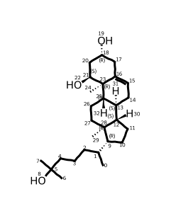 CC(CCCC(C)(C)O)[C@H]1CC[C@H]2[C@@H]3CC=C4C[C@@H](O)C[C@H](O)[C@]4(C)[C@H]3CC[C@]12C